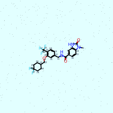 Cn1c(=O)[nH]c2cc(C(=O)NCc3ccc(C(F)(F)F)c(OCC4CCC(F)(F)CC4)c3)ccc21